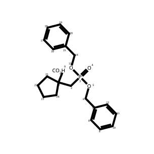 O=C(O)C1(CP(=O)(OCc2ccccc2)OCc2ccccc2)CCCC1